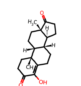 C[C@]12CCC(=O)C(O)=C1CC[C@@H]1[C@H]2CC[C@]2(C)C(=O)CC[C@@H]12